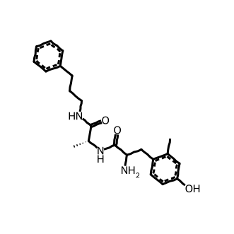 Cc1cc(O)ccc1CC(N)C(=O)N[C@H](C)C(=O)NCCCc1ccccc1